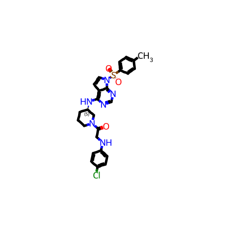 Cc1ccc(S(=O)(=O)n2ccc3c(N[C@H]4CCCN(C(=O)CNc5ccc(Cl)cc5)C4)ncnc32)cc1